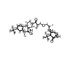 C[C@@H](COC[C@H](F)C(=O)N1CCN2c3ncc(C(F)(F)F)cc3N(C)C(=O)[C@@H]2C1)Nc1cn[nH]c(=O)c1C(F)(F)F